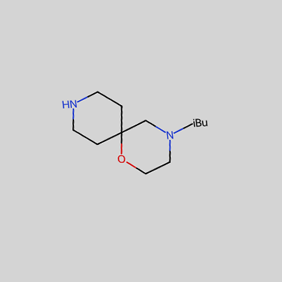 CCC(C)N1CCOC2(CCNCC2)C1